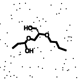 CCCCO[C@@H](CO)CO[C@@H](O)CC